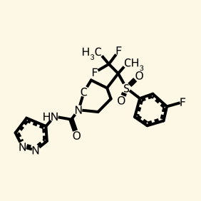 CC(F)(F)C(C)(C1CCN(C(=O)Nc2ccnnc2)CC1)S(=O)(=O)c1cccc(F)c1